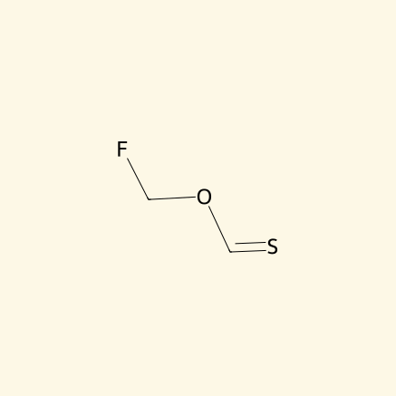 FCOC=S